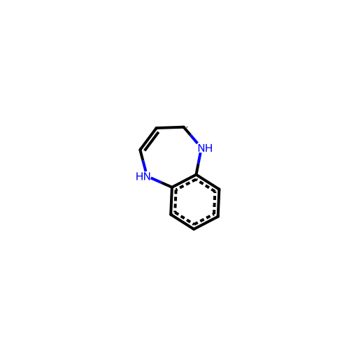 [CH]1C=CNc2ccccc2N1